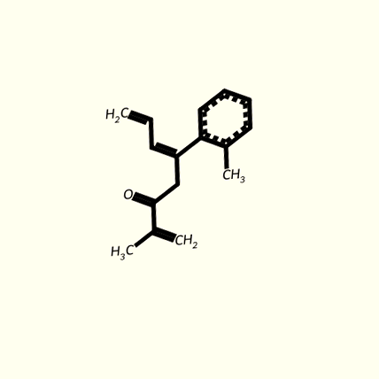 C=C/C=C(/CC(=O)C(=C)C)c1ccccc1C